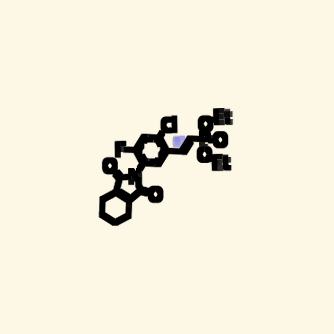 CCOP(=O)(/C=C/c1cc(N2C(=O)C3=C(CCCC3)C2=O)c(F)cc1Cl)OCC